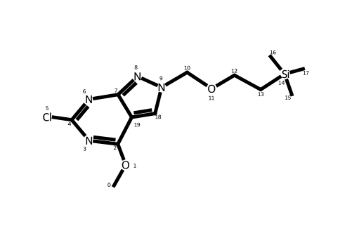 COc1nc(Cl)nc2nn(COCC[Si](C)(C)C)cc12